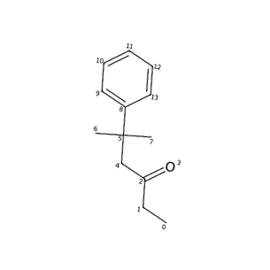 CCC(=O)CC(C)(C)c1ccccc1